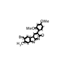 COc1ccc(C2=CC3C(=NC2=O)[N]c2cc(C)c(Br)cc23)c(OC)c1